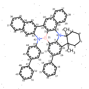 CC12CCCCC1(C)N1c3c(cc(-c4ccccc4)cc32)B2c3c(cc4ccccc4c31)-c1cc3ccccc3cc1N2c1ccc(-c2ccccc2)cc1